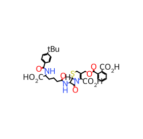 CC(C)(C)c1ccc(C(=O)NC(CCCC(=O)N[C@@H]2C(=O)N3C(C(=O)O)=C(COC(=O)c4ccccc4C(=O)O)CS[C@@H]23)C(=O)O)cc1